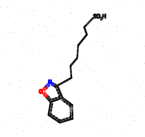 O=S(=O)(O)CCCCCCc1noc2ccccc12